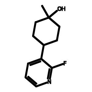 CC1(O)CCC(c2cccnc2F)CC1